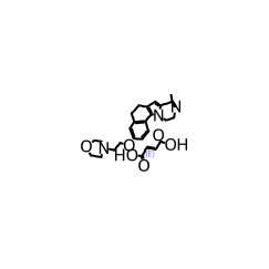 CC1=NCCn2c1cc1c2-c2ccc(OCCN3CCOCC3)cc2CC1.O=C(O)/C=C/C(=O)O